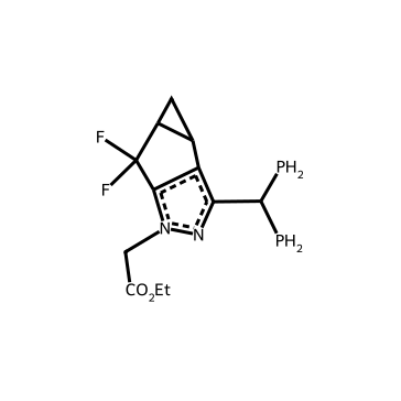 CCOC(=O)Cn1nc(C(P)P)c2c1C(F)(F)C1CC21